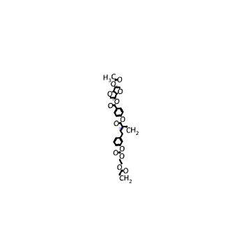 C=CC(=O)OCCOC(=O)Oc1cccc(C/C=C(\C=C)C(=O)Oc2ccc(C(=O)O[C@@H]3COC4C3OC[C@H]4OC(C)=O)cc2)c1